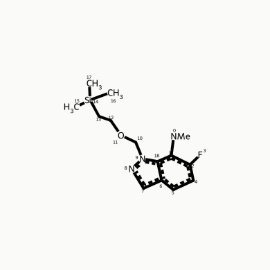 CNc1c(F)ccc2cnn(COCC[Si](C)(C)C)c12